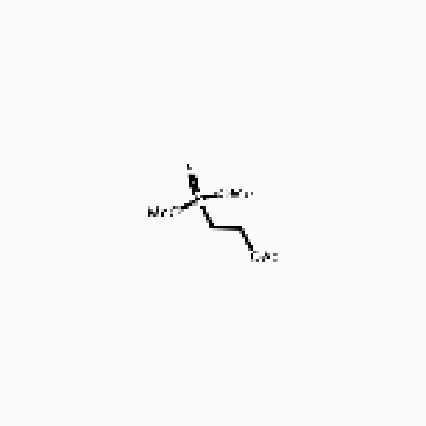 COP(=S)(CCOC(C)=O)OC